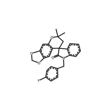 CC1(C)CC2(C(=O)N(Cc3ccc(F)cc3)c3ccccc32)c2cc3c(cc2O1)OCO3